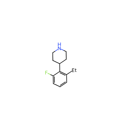 CCc1cccc(F)c1C1CCNCC1